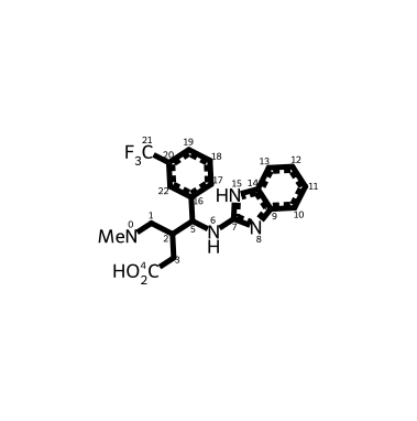 CNCC(CC(=O)O)C(Nc1nc2ccccc2[nH]1)c1cccc(C(F)(F)F)c1